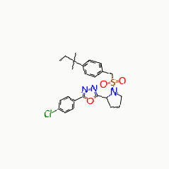 CCC(C)(C)c1ccc(CS(=O)(=O)N2CCCC2c2nnc(-c3ccc(Cl)cc3)o2)cc1